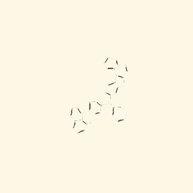 Clc1cccc2cccc(-c3ccc(N(C4=CC=CCC4)c4ccc5c(c4)oc4ccc6ccccc6c45)cc3)c12